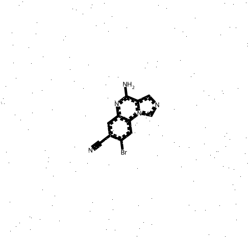 N#Cc1cc2nc(N)c3cncn3c2cc1Br